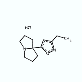 CCc1cc(C23CCCN2CCC3)on1.Cl